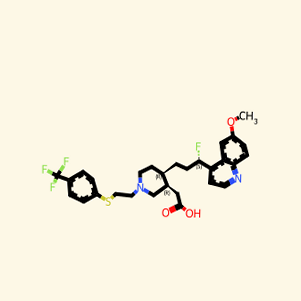 COc1ccc2nccc([C@@H](F)CC[C@@H]3CCN(CCSc4ccc(C(F)(F)F)cc4)C[C@@H]3CC(=O)O)c2c1